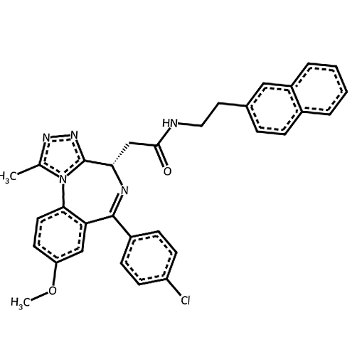 COc1ccc2c(c1)C(c1ccc(Cl)cc1)=N[C@@H](CC(=O)NCCc1ccc3ccccc3c1)c1nnc(C)n1-2